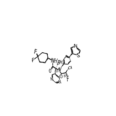 B[C@@](C(=O)NC1CCC(F)(F)CC1)(c1cncnc1)N(C(=O)[C@H](F)Cl)c1ccc(-c2cncs2)cc1